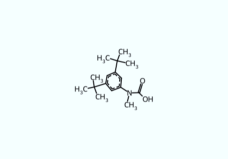 CN(C(=O)O)c1cc(C(C)(C)C)cc(C(C)(C)C)c1